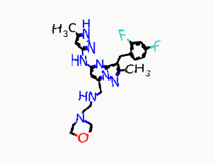 Cc1cc(Nc2cc(CNCCN3CCOCC3)n3nc(C)c(Cc4ccc(F)cc4F)c3n2)n[nH]1